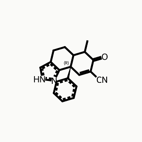 CC1C(=O)C(C#N)=C[C@]2(c3ccccc3)c3n[nH]cc3CCC12